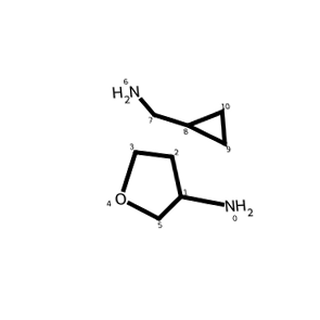 NC1CCOC1.NCC1CC1